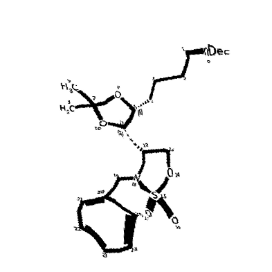 CCCCCCCCCCCCCC[C@H]1OC(C)(C)O[C@H]1C1COS(=O)(=O)N1Cc1ccccc1